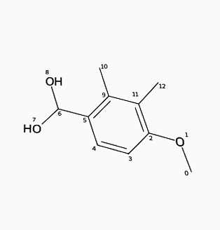 COc1ccc(C(O)O)c(C)c1C